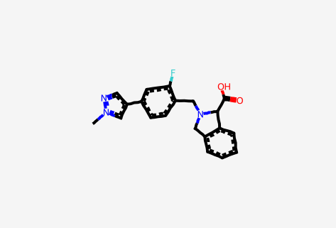 Cn1cc(-c2ccc(CN3Cc4ccccc4C3C(=O)O)c(F)c2)cn1